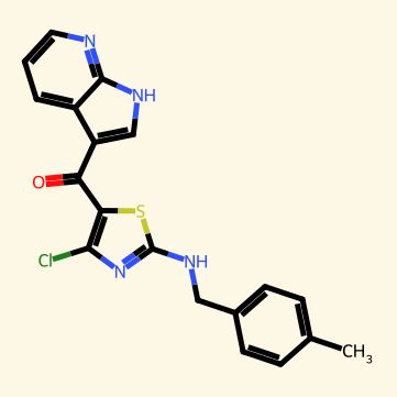 Cc1ccc(CNc2nc(Cl)c(C(=O)c3c[nH]c4ncccc34)s2)cc1